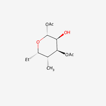 CC[C@@H]1O[C@H](OC(C)=O)[C@@H](O)[C@@H](OC(C)=O)[C@@H]1C